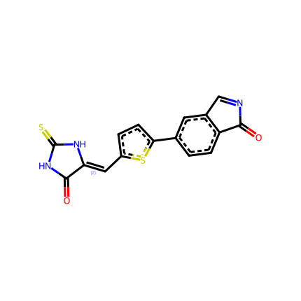 O=C1NC(=S)N/C1=C\c1ccc(-c2ccc3c(c2)C=NC3=O)s1